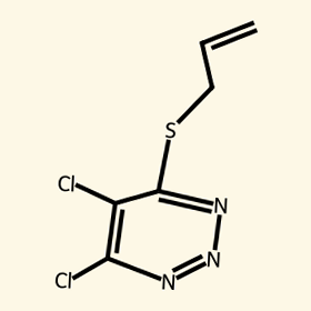 C=CCSc1nnnc(Cl)c1Cl